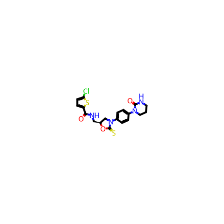 O=C(NC[C@H]1CN(c2ccc(N3CCCNC3=O)cc2)C(=S)O1)c1ccc(Cl)s1